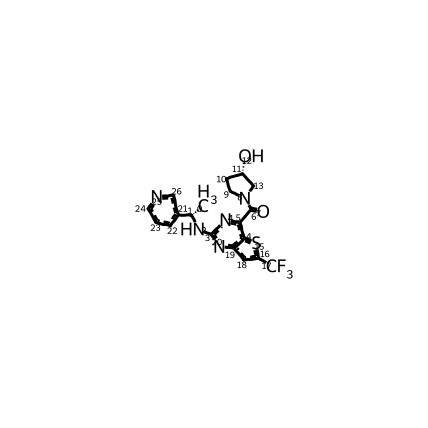 C[C@H](Nc1nc(C(=O)N2CC[C@H](O)C2)c2sc(C(F)(F)F)cc2n1)c1cccnc1